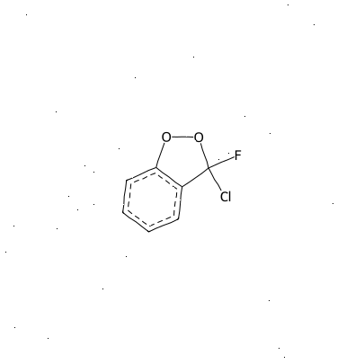 FC1(Cl)OOc2ccccc21